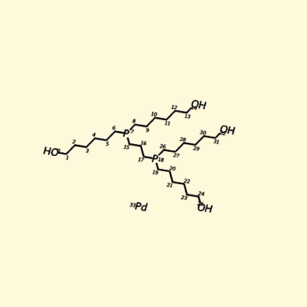 OCCCCCCP(CCCCCCO)CCCP(CCCCCCO)CCCCCCO.[Pd]